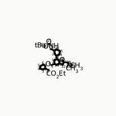 CCOC(=O)Cc1ccccc1OCc1cc(-c2cccc(CNC(=O)OC(C)(C)C)c2)c2oc(CN(C)C)cc2c1